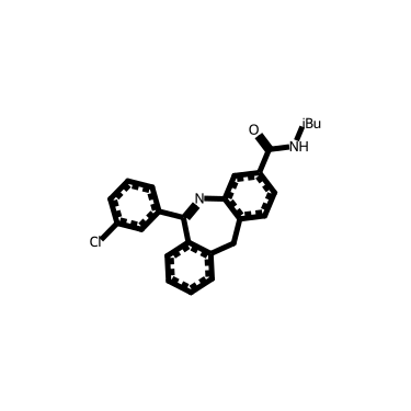 CCC(C)NC(=O)c1ccc2c(c1)N=C(c1cccc(Cl)c1)c1ccccc1C2